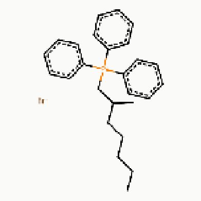 CCCCCC(C)C[P+](c1ccccc1)(c1ccccc1)c1ccccc1.[Br-]